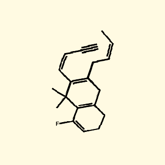 C#C/C=C\C1=C(C/C=C\C)CC2=C(C(F)=CCC2)C1(C)C